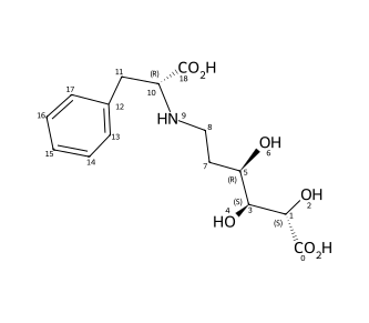 O=C(O)[C@@H](O)[C@@H](O)[C@H](O)CCN[C@H](Cc1ccccc1)C(=O)O